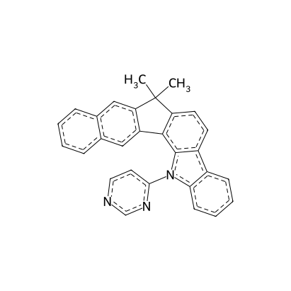 CC1(C)c2cc3ccccc3cc2-c2c1ccc1c3ccccc3n(-c3ccncn3)c21